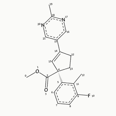 COC(=O)[C@@]1(c2cccc(F)c2C)C=C(c2cnc(C)nc2)CC1